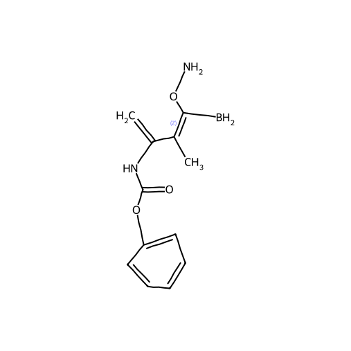 B/C(ON)=C(\C)C(=C)NC(=O)Oc1ccccc1